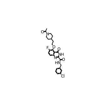 CC(=O)N1CCC(CCOc2c(F)ccc3nc(C(=O)NCc4cccc(Cl)c4)[nH]c(=O)c23)CC1